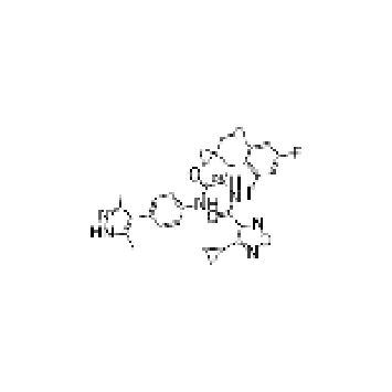 Cc1n[nH]c(C)c1-c1ccc(NC(=O)[C@@H](NC(=O)c2nonc2C2CC2)C2c3c(F)cc(F)cc3OCC23CC3)cc1